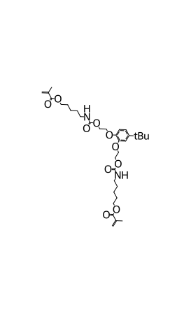 C=C(C)C(=O)OCCCCCNC(=O)OCCOc1ccc(C(C)(C)C)cc1OCCOC(=O)NCCCCCOC(=O)C(=C)C